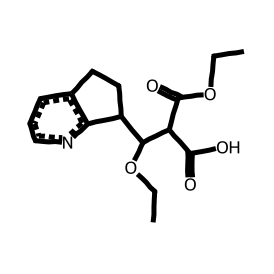 CCOC(=O)C(C(=O)O)C(OCC)C1CCc2cccnc21